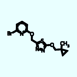 CC1(COc2nnc(COc3cccc(Br)n3)s2)CC1